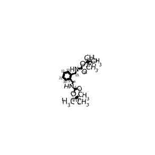 CC(C)(C)OC(=O)NCc1ccccc1CNC(=O)OC(C)(C)C